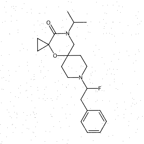 CC(C)N1CC2(CCN(C(F)Cc3ccccc3)CC2)OC2(CC2)C1=O